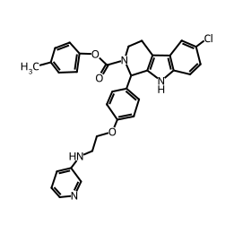 Cc1ccc(OC(=O)N2CCc3c([nH]c4ccc(Cl)cc34)C2c2ccc(OCCNc3cccnc3)cc2)cc1